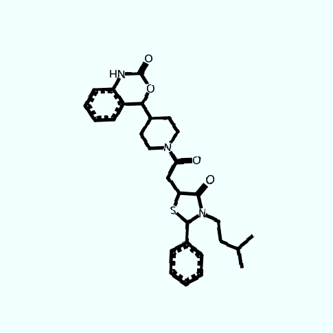 CC(C)CCN1C(=O)C(CC(=O)N2CCC(C3OC(=O)Nc4ccccc43)CC2)SC1c1ccccc1